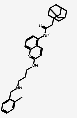 O=C(CC12CC3CC(CC(C3)C1)C2)Nc1cccc2nc(NCCCNCc3ccccc3F)ccc12